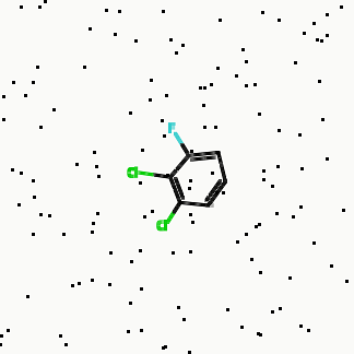 Fc1cc[c]c(Cl)c1Cl